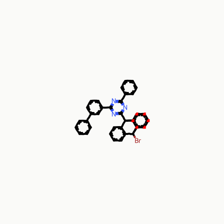 BrC12c3ccccc3C(c3nc(-c4ccccc4)nc(-c4cccc(-c5ccccc5)c4)n3)(c3ccccc31)c1ccccc12